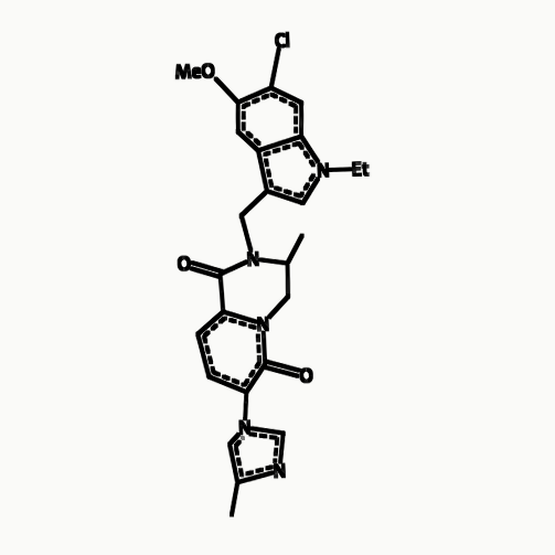 CCn1cc(CN2C(=O)c3ccc(-n4cnc(C)c4)c(=O)n3CC2C)c2cc(OC)c(Cl)cc21